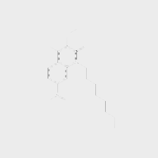 CCCCCCCCn1c(=O)c(OC)c(O)c2ccc([N+](=O)[O-])cc21